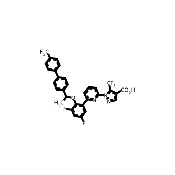 CC(Oc1c(F)cc(F)cc1-c1cccc(-n2ncc(C(=O)O)c2C(F)(F)F)n1)c1ccc(-c2ccc(C(F)(F)F)cc2)cc1